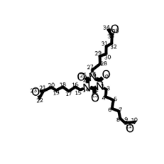 O=c1n(CCCCCCC2CO2)c(=O)n(CCCCCCC2CO2)c(=O)n1CCCCCCC1CO1